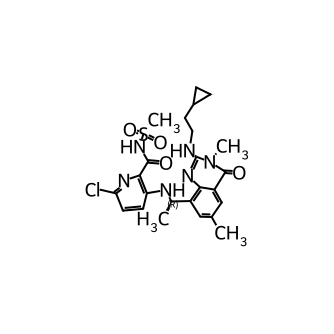 Cc1cc([C@@H](C)Nc2ccc(Cl)nc2C(=O)NS(C)(=O)=O)c2nc(NCCC3CC3)n(C)c(=O)c2c1